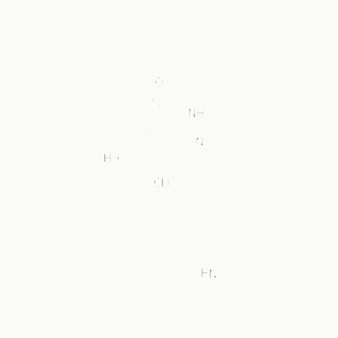 CC1(C)SC(=O)NN=C1c1ccc2c(c1)CCN2